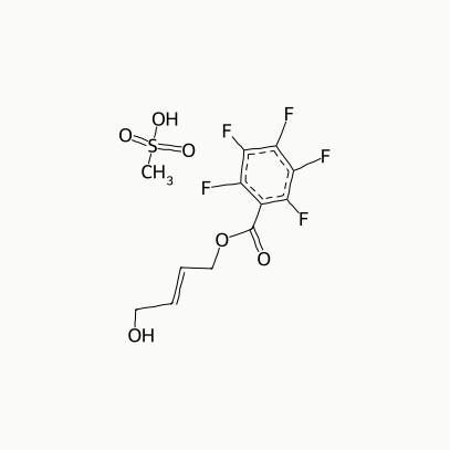 CS(=O)(=O)O.O=C(OCC=CCO)c1c(F)c(F)c(F)c(F)c1F